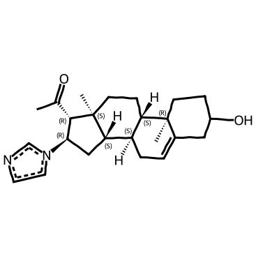 CC(=O)[C@H]1[C@H](n2ccnc2)C[C@H]2[C@@H]3CC=C4CC(O)CC[C@]4(C)[C@H]3CC[C@@]21C